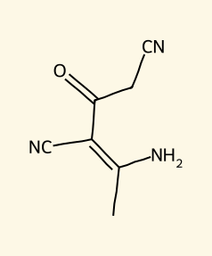 C/C(N)=C(\C#N)C(=O)CC#N